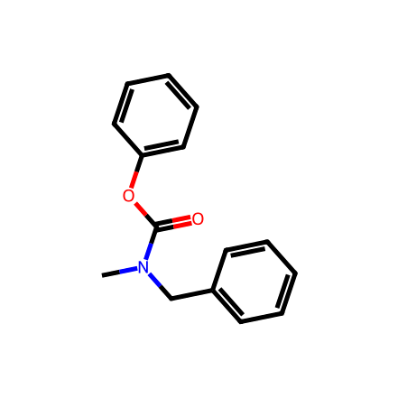 CN(Cc1ccccc1)C(=O)Oc1ccccc1